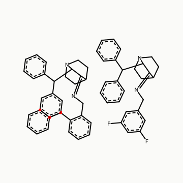 Fc1cc(F)cc(CN=C2C3CCN(CC3)C2C(c2ccccc2)c2ccccc2)c1.c1ccc(Cc2ccccc2CN=C2C3CCN(CC3)C2C(c2ccccc2)c2ccccc2)cc1